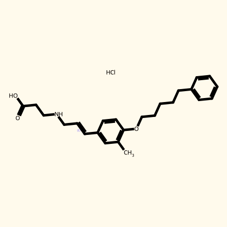 Cc1cc(/C=C/CNCCC(=O)O)ccc1OCCCCCc1ccccc1.Cl